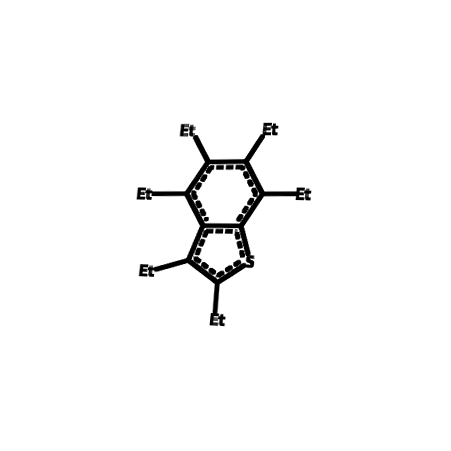 CCc1sc2c(CC)c(CC)c(CC)c(CC)c2c1CC